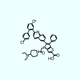 CCN(CC)C1CCN(C(=O)Cn2c(-c3ccc4nc(-c5cc(OC)ccc5-c5ccc(Cl)cc5)ccc4c3)c(-c3ccccc3)c3sc(C(=O)O)cc32)CC1